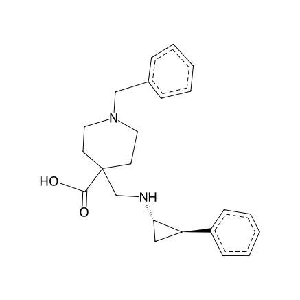 O=C(O)C1(CN[C@H]2C[C@@H]2c2ccccc2)CCN(Cc2ccccc2)CC1